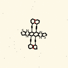 C(#Cc1c2nc3ccsc3nc2c(C#Cc2ccccc2)c2c(C#Cc3ccccc3)c3nc4ccsc4nc3c(C#Cc3ccccc3)c12)c1ccccc1